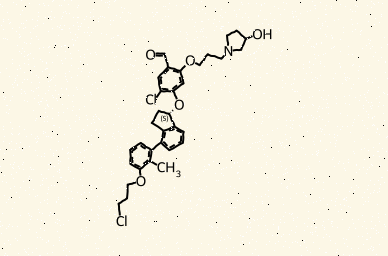 Cc1c(OCCCCl)cccc1-c1cccc2c1CC[C@@H]2Oc1cc(OCCCN2CCC(O)C2)c(C=O)cc1Cl